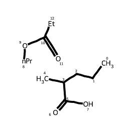 CCCC(C)C(=O)O.CCCOC(=O)CC